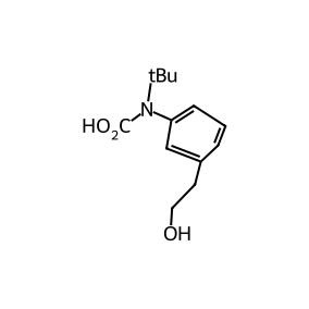 CC(C)(C)N(C(=O)O)c1cccc(CCO)c1